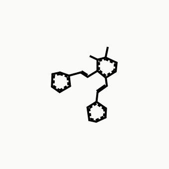 Cc1ccc(C=Cc2ccccc2)c(C=Cc2ccccc2)c1C